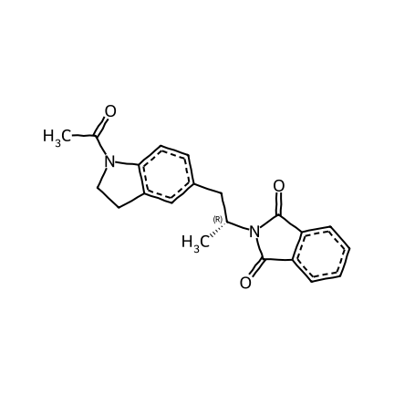 CC(=O)N1CCc2cc(C[C@@H](C)N3C(=O)c4ccccc4C3=O)ccc21